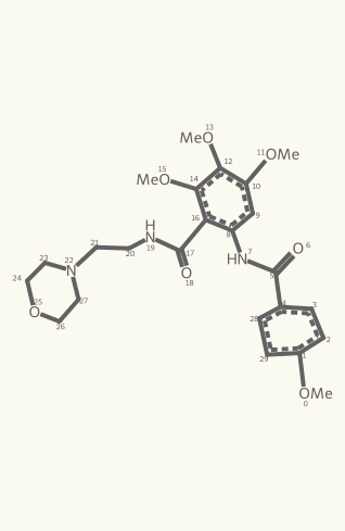 COc1ccc(C(=O)Nc2cc(OC)c(OC)c(OC)c2C(=O)NCCN2CCOCC2)cc1